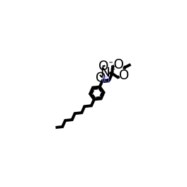 CCCCCCCCc1ccc(/C=C/C2([N+](=O)[O-])COC(C)OC2)cc1